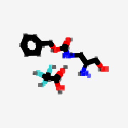 N[C@H](CO)CNC(=O)OCc1ccccc1.O=C(O)C(F)(F)F